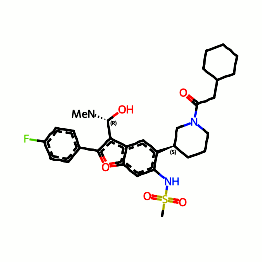 CN[C@H](O)c1c(-c2ccc(F)cc2)oc2cc(NS(C)(=O)=O)c([C@@H]3CCCN(C(=O)CC4CCCCC4)C3)cc12